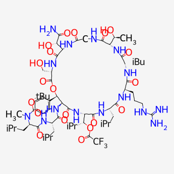 CC[C@H](C)[C@@H]1NC(=O)[C@@H](CCCNC(=N)N)NC(=O)[C@H](CC(C)C)NC(=O)[C@H]([C@H](OC(=O)C(F)(F)F)C(C)C)NC(=O)[C@@H](NC(=O)[C@H](CC(C)C)NC(=O)[C@@H](CC(C)C)N(C)C(=O)OC(C)(C)C)[C@@H](c2ccccc2)OC(=O)[C@H](CO)NC(=O)[C@H]([C@H](O)C(N)=O)NC(=O)CNC(=O)[C@H]([C@H](C)O)NC1=O